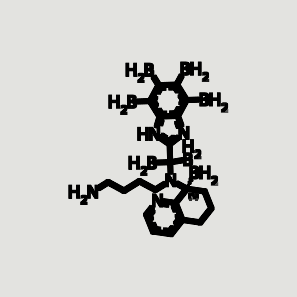 Bc1c(B)c(B)c2[nH]c(C(B)(B)N(CCCCN)[C@@]3(B)CCCc4cccnc43)nc2c1B